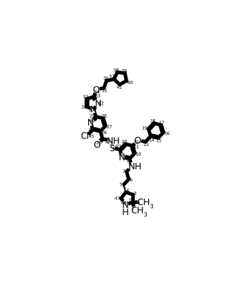 CC1(C)C[C@H](CCCNc2cc(OCc3ccccc3)cc(SNC(=O)c3ccc(-n4ccc(OCCC5CCCC5)n4)nc3Cl)n2)CN1